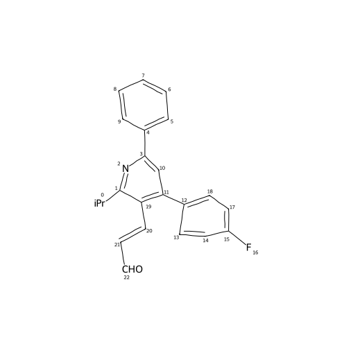 CC(C)c1nc(-c2ccccc2)cc(-c2ccc(F)cc2)c1C=CC=O